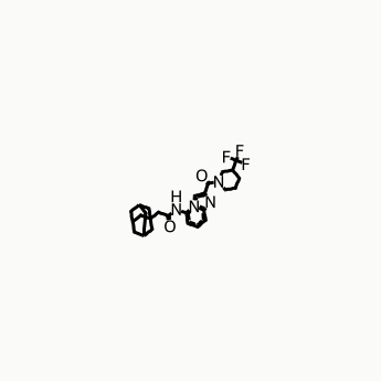 O=C(CC12CC3CC(CC(C3)C1)C2)Nc1cccc2nc(C(=O)N3CCCC(C(F)(F)F)C3)cn12